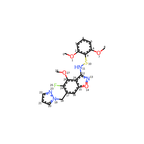 COc1cccc(OC)c1SNc1noc2cc(Cn3cccn3)c(F)c(OC)c12